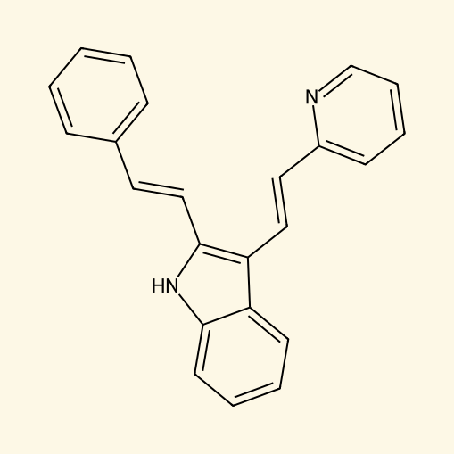 C(=C\c1[nH]c2ccccc2c1/C=C/c1ccccn1)/c1ccccc1